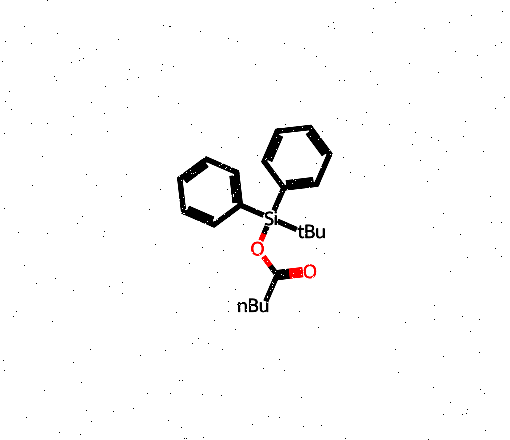 [CH2]CCCC(=O)O[Si](c1ccccc1)(c1ccccc1)C(C)(C)C